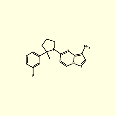 CC1(c2cccc(F)c2)CCCN1c1ccn2ncc(N)c2n1